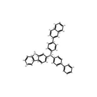 c1ccc(-c2ccc(N(c3ccc(-c4ccc5ccccc5c4)cc3)c3ccc4c(c3)oc3ccncc34)cc2)cc1